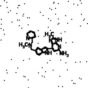 Cc1nc2c(-c3cc4cc(CN(C)Cc5ccccn5)ccc4[nH]3)cc(N)nc2[nH]1